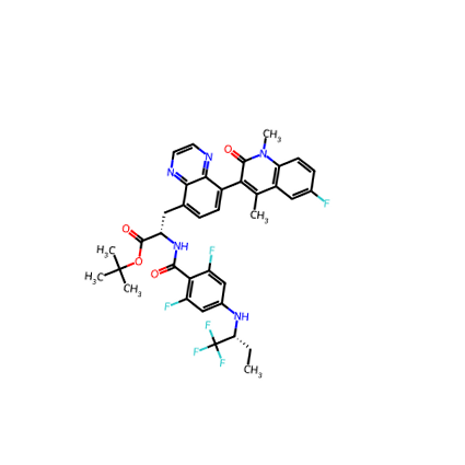 CC[C@@H](Nc1cc(F)c(C(=O)N[C@@H](Cc2ccc(-c3c(C)c4cc(F)ccc4n(C)c3=O)c3nccnc23)C(=O)OC(C)(C)C)c(F)c1)C(F)(F)F